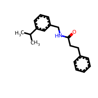 CC(C)c1cccc(CNC(=O)CCc2ccccc2)c1